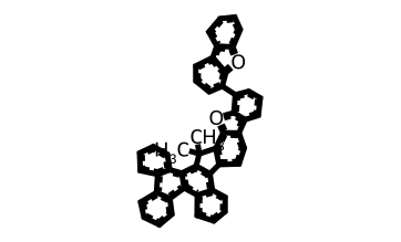 CC1(C)c2c(ccc3c2oc2c(-c4cccc5c4oc4ccccc45)cccc23)-c2c1c1c3ccccc3c3ccccc3c1c1ccccc21